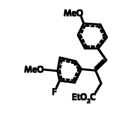 CCOC(=O)CC(=Cc1ccc(OC)cc1)c1ccc(OC)c(F)c1